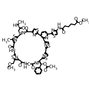 CNC(=O)C[C@@H]1NC(=O)c2csc(n2)-c2ccc(-c3nc(NC(=O)CCCCC(=O)OC)cs3)nc2-c2csc(n2)-c2csc(n2)C([C@@H](OC(C)=O)c2ccccc2)NC(=O)CNC(=O)c2nc(sc2COC)NC(=O)c2nc1sc2C